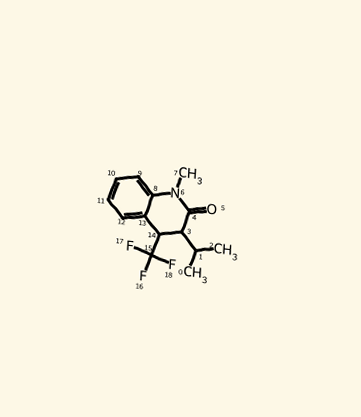 CC(C)C1C(=O)N(C)c2ccccc2C1C(F)(F)F